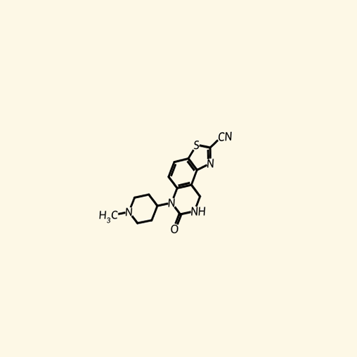 CN1CCC(N2C(=O)NCc3c2ccc2sc(C#N)nc32)CC1